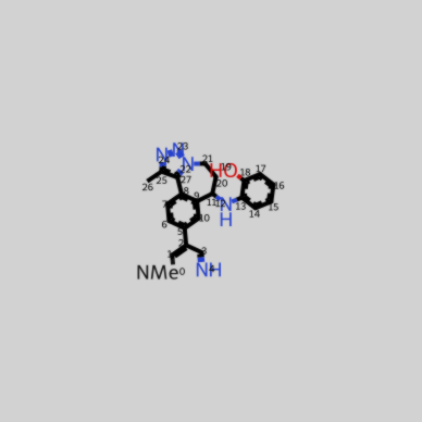 CN/C=C(\C=N)c1ccc2c(c1)C(Nc1ccccc1O)CCn1nnc(C)c1-2